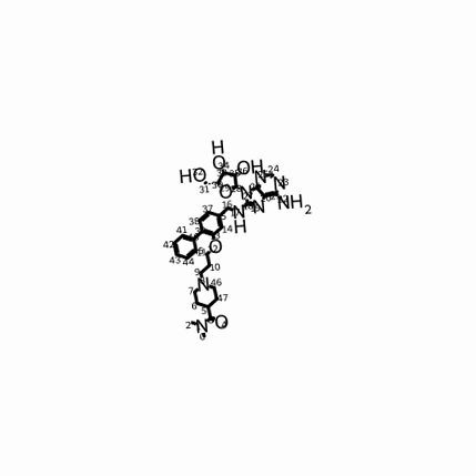 CN(C)C(=O)C1CCN(CCCOc2cc(CNc3nc4c(N)ncnc4n3[C@@H]3O[C@H](CO)[C@@H](O)[C@H]3O)ccc2-c2ccccc2)CC1